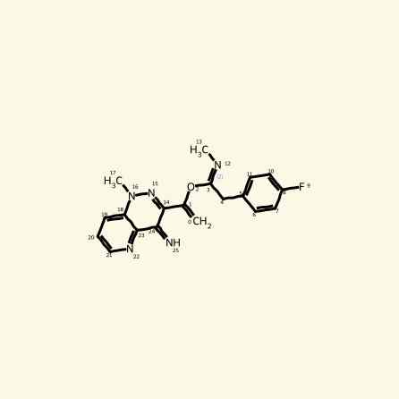 C=C(O/C(Cc1ccc(F)cc1)=N\C)c1nn(C)c2cccnc2c1=N